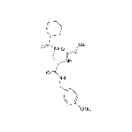 COc1ccc(CNC(=O)[C@H](CNC(=O)C2CCCCC2)NC(=O)OC(C)(C)C)cc1